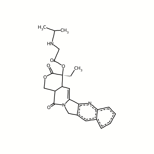 CC[C@@]1(OC(=O)CNC(C)C)C(=O)OCC2C(=O)N3Cc4cc5ccccc5nc4C3=CC21